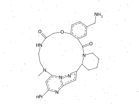 CCCc1cc2n3nc(cc3n1)C1CCCCN1C(=O)c1cc(CN)ccc1OCC(=O)NCCN2C